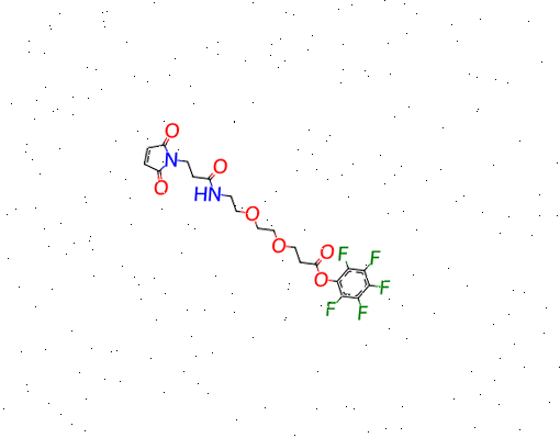 O=C(CCN1C(=O)C=CC1=O)NCCOCCOCCC(=O)Oc1c(F)c(F)c(F)c(F)c1F